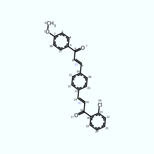 COc1ccc(C(=O)/C=C/c2ccc(/C=C/C(=O)c3ccccc3Cl)cc2)cc1